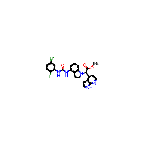 CC(C)(C)OC(=O)C(c1ccnc2[nH]ccc12)N1CCc2c(NC(=O)Nc3cc(Br)ccc3F)cccc21